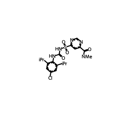 CNC(=O)c1cc(S(=O)(=O)NC(=O)Nc2c(C(C)C)cc(Cl)cc2C(C)C)ncn1